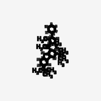 [CH2]=[Zr]([C]1=C(C)C(c2ccccc2)=CC1C)[c]1cc(C(C)(C)C)cc2c1Cc1ccc(C(C)(C)C)cc1-2